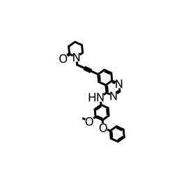 COc1cc(Nc2ncnc3ccc(C#CCN4CCCCC4=O)cc23)ccc1Oc1ccccc1